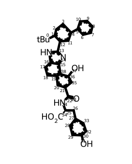 CC(C)(C)c1ccc(-c2ccccc2)cc1-c1nc2c(ccc3cc(C(=O)N[C@@H](Cc4ccc(O)cc4)C(=O)O)cc(O)c32)[nH]1